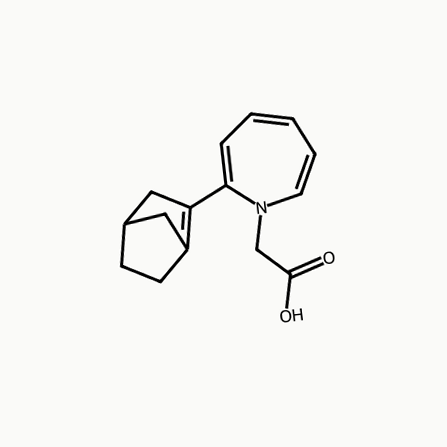 O=C(O)CN1C=CC=CC=C1C1=C2CCC(C2)C1